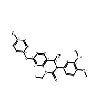 CCOC(=O)C(c1ccc(OC)c(OC)c1)C(O)c1ccc(Oc2ccc(Cl)cc2)nc1